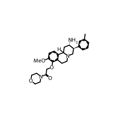 COc1ccc2c(c1OCC(=O)N1CCOCC1)CCN1C[C@H](c3cccc(C)c3)[C@@H](N)C[C@@H]21